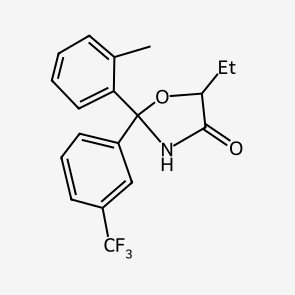 CCC1OC(c2cccc(C(F)(F)F)c2)(c2ccccc2C)NC1=O